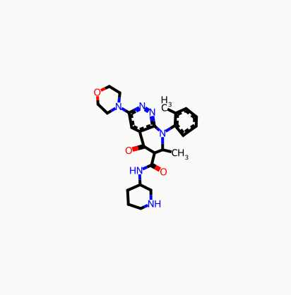 Cc1ccccc1N1c2nnc(N3CCOCC3)cc2C(=O)C(C(=O)NC2CCCNC2)C1C